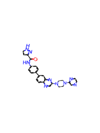 O=C(Nc1ccc(-c2ccc3ncc(N4CCN(c5cnccn5)CC4)nc3c2)cc1)c1cc[nH]n1